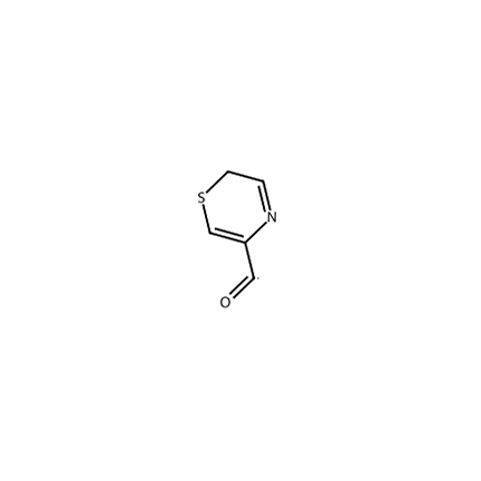 O=[C]C1=CSCC=N1